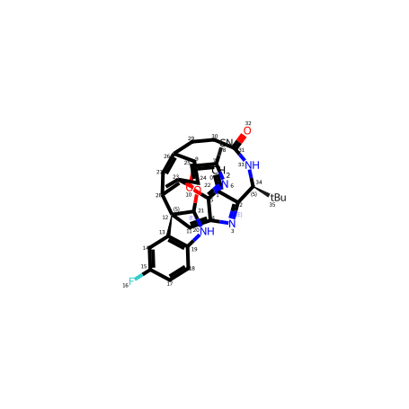 C=C/C1=N\C(c2nc(C#N)co2)=C\[C@@]23c4cc(F)ccc4NC2Oc2ccc(cc23)CCC(=O)N[C@H]1C(C)(C)C